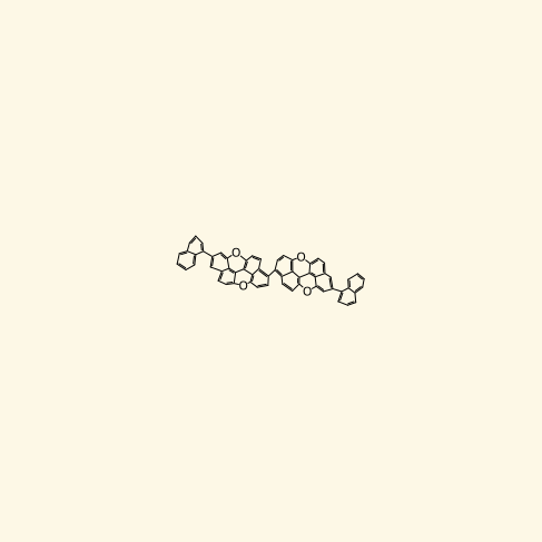 c1ccc2c(-c3cc4ccc5oc6ccc(-c7ccc8oc9ccc%10cc(-c%11cccc%12ccccc%11%12)cc%11oc%12ccc7c8c%12-c9c%10%11)c7ccc8oc(c3)c4c5-c8c67)cccc2c1